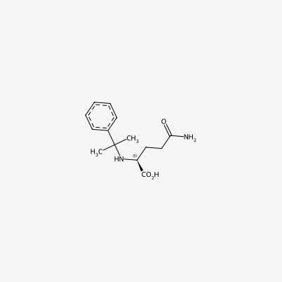 CC(C)(N[C@@H](CCC(N)=O)C(=O)O)c1ccccc1